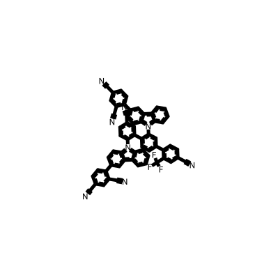 N#Cc1ccc(-c2ccc3c(c2)c2ccccc2n3-c2ccc(C#N)cc2-c2ccc(-c3ccc(C#N)cc3C(F)(F)F)cc2-n2c3ccccc3c3cc(-c4ccc(C#N)cc4C#N)ccc32)c(C#N)c1